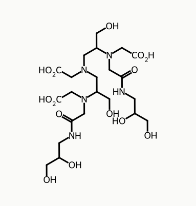 O=C(O)CN(CC(CO)N(CC(=O)O)CC(=O)NCC(O)CO)CC(CO)N(CC(=O)O)CC(=O)NCC(O)CO